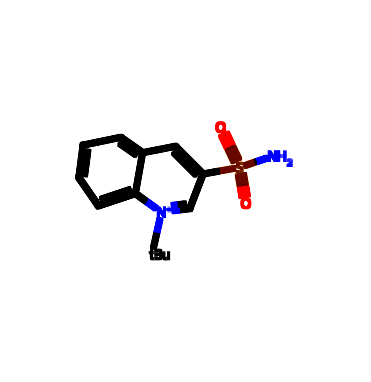 CC(C)(C)[n+]1cc(S(N)(=O)=O)cc2ccccc21